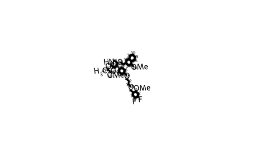 COc1cc(F)c(F)cc1COCCCOc1ccc([C@@H]2[C@@H](OCc3cc(OC)c4ccccc4c3)CNC[C@H]2OC(OC)C(C)O)cc1